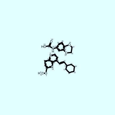 COc1ccc2nccc(/C=C/C3CCCCC3)c2n1.O=C(O)Nc1ccc2c(c1)OCCO2